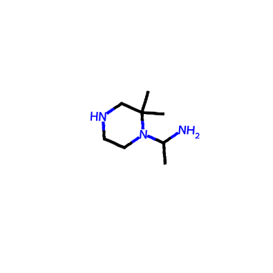 CC(N)N1CCNCC1(C)C